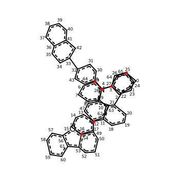 c1ccc(-c2ccccc2-c2c(-c3ccccc3)cccc2-c2ccccc2N(c2ccc(-c3ccc4ccccc4c3)cc2)c2ccc(-c3cccc4c3oc3ccccc34)cc2)cc1